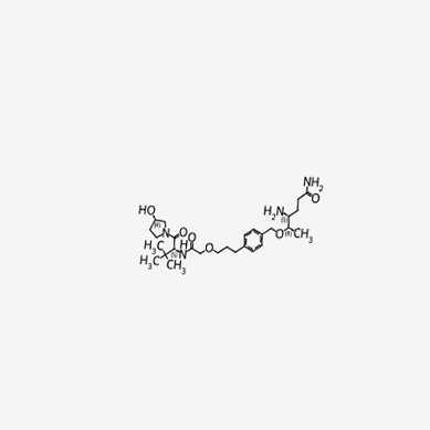 C[C@@H](OCc1ccc(CCCOCC(=O)N[C@H](C(=O)N2CC[C@@H](O)C2)C(C)(C)C)cc1)[C@@H](N)CCC(N)=O